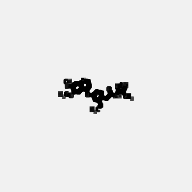 COc1cc(Oc2ccnc3cc(OC)c(OC)cc23)ccc1CC(=O)Nc1n[nH]cc1C